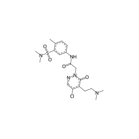 Cc1ccc(NC(=O)Cn2ncc(Cl)c(CCN(C)C)c2=O)cc1S(=O)(=O)N(C)C